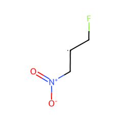 O=[N+]([O-])C[CH]CF